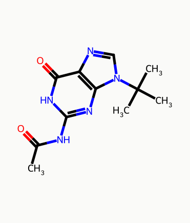 CC(=O)Nc1nc2c(ncn2C(C)(C)C)c(=O)[nH]1